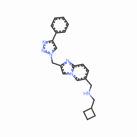 c1ccc(-c2cn(Cc3cn4cc(CNCC5CCC5)ccc4n3)nn2)cc1